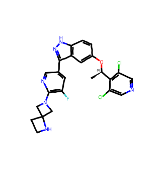 C[C@@H](Oc1ccc2[nH]nc(-c3cnc(N4CC5(CCN5)C4)c(F)c3)c2c1)c1c(Cl)cncc1Cl